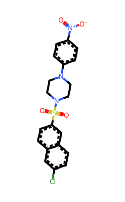 O=[N+]([O-])c1ccc(N2CCN(S(=O)(=O)c3ccc4cc(Cl)ccc4c3)CC2)cc1